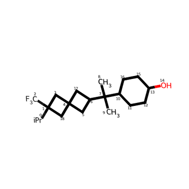 CC(C)C1(C(F)(F)F)CC2(CC(C(C)(C)C3CCC(O)CC3)C2)C1